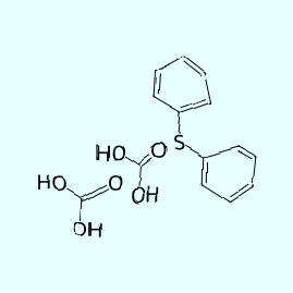 O=C(O)O.O=C(O)O.c1ccc(Sc2ccccc2)cc1